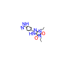 CCCn1c(=O)c2[nH]c(-c3ccc(C(=N)N(C)C)cc3)nc2n(CCC)c1=O